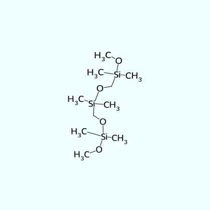 CO[Si](C)(C)CO[Si](C)(C)CO[Si](C)(C)OC